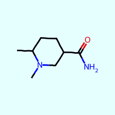 CC1CCC(C(N)=O)CN1C